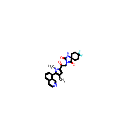 Cc1cc(C(=O)CN2C(=O)NC3(CCC(F)(F)CC3)C2=O)n(C)c1-c1cccc2ccncc12